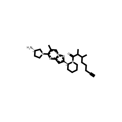 C#CCCCC(C)C(C)C(=O)N1CCCC[C@H]1c1cc2nc(N3CC[C@H](N)C3)c(C)cn2n1